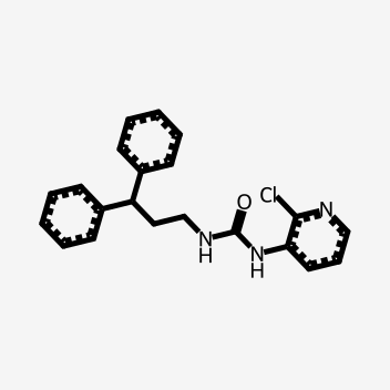 O=C(NCCC(c1ccccc1)c1ccccc1)Nc1cccnc1Cl